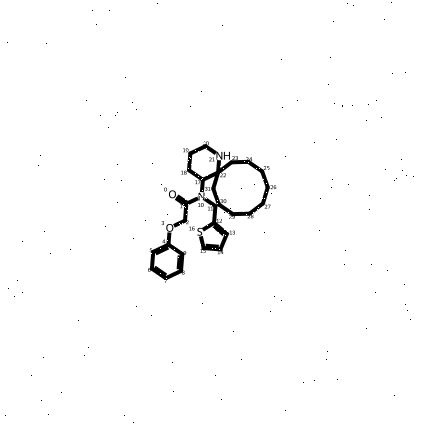 O=C(COc1ccccc1)N(Cc1cccs1)C1CCCNC12CCCCCCCCC2